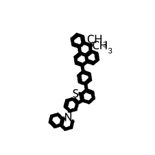 CC1(C)c2ccccc2-c2ccc(-c3ccc(C4=CCCc5c4sc4c5CC(N5CCCC6=C5CCC=C6)C=C4)cc3)c3cccc1c23